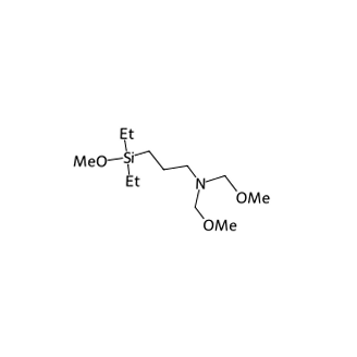 CC[Si](CC)(CCCN(COC)COC)OC